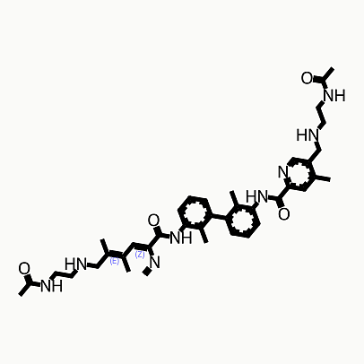 C=N/C(=C\C(C)=C(/C)CNCCNC(C)=O)C(=O)Nc1cccc(-c2cccc(NC(=O)c3cc(C)c(CNCCNC(C)=O)cn3)c2C)c1C